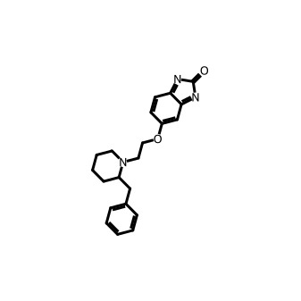 O=C1N=c2ccc(OCCN3CCCCC3Cc3ccccc3)cc2=N1